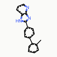 Cc1ccccc1-c1ccc(-c2nc3ncccc3[nH]2)cc1